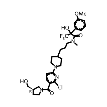 COc1cccc(C(O)(C(=O)N(C)CCCC2CCN(c3ccc(C(=O)N4CC[C@@H](CO)C4)c(Cl)n3)CC2)C(F)(F)F)c1